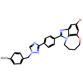 COc1ccc(Cn2cnc(-c3ccc(-c4nc5cc(Br)cc6c5n4CCCCO6)cc3)n2)cc1